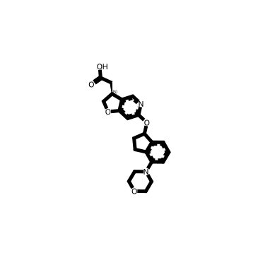 O=C(O)C[C@@H]1COc2cc(OC3CCc4c3cccc4N3CCOCC3)ncc21